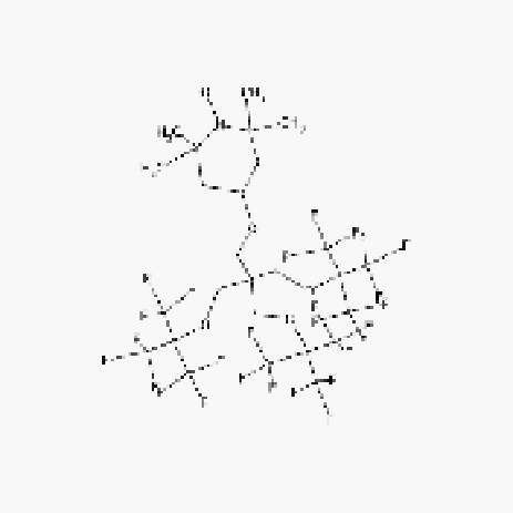 CC1(C)CC(OCC(COC(C(F)(F)F)(C(F)(F)F)C(F)(F)F)(COC(C(F)(F)F)(C(F)(F)F)C(F)(F)F)COC(C(F)(F)F)(C(F)(F)F)C(F)(F)F)CC(C)(C)N1[O]